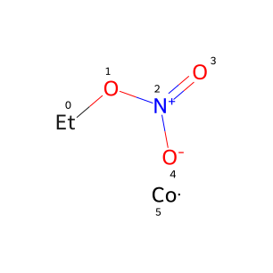 CCO[N+](=O)[O-].[Co]